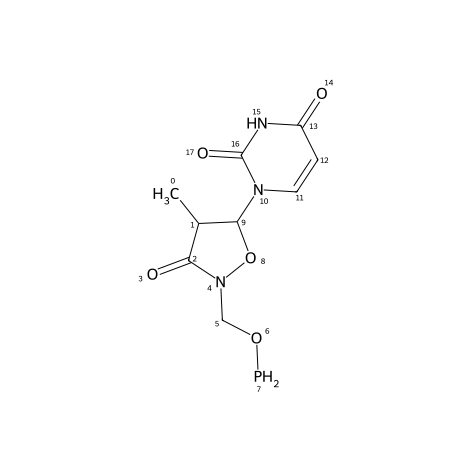 CC1C(=O)N(COP)OC1n1ccc(=O)[nH]c1=O